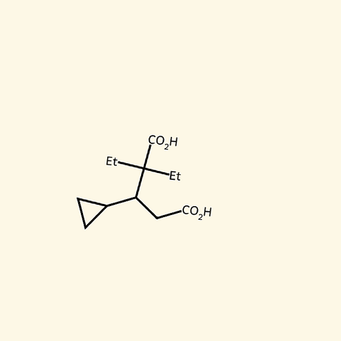 CCC(CC)(C(=O)O)C(CC(=O)O)C1CC1